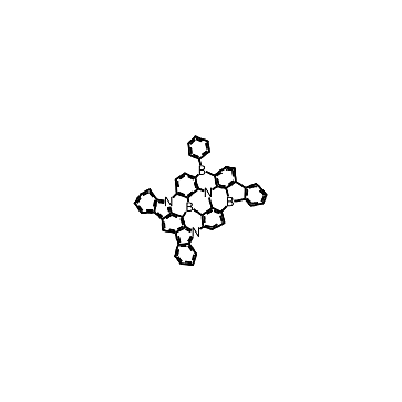 c1ccc(B2c3ccc4c5c3N3c6c2ccc2c6B6c7c(ccc(c73)B5c3ccccc3-4)-n3c4ccccc4c4cc5c7ccccc7n-2c5c6c43)cc1